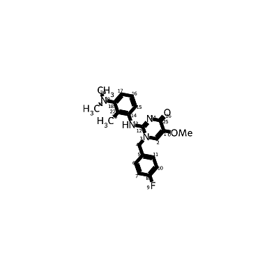 COc1cn(Cc2ccc(F)cc2)c(Nc2cccc(N(C)C)c2C)nc1=O